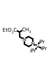 CCOC(=O)C(C)CN1CCN([Si](C(C)C)(C(C)C)C(C)C)CC1